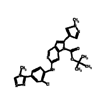 Cn1cc(-c2cc3cnc(Nc4ccc(-c5nncn5C)cc4Cl)cc3n2C(=O)OC(C)(C)C)cn1